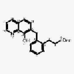 CCCCCCCCCCCCc1ccccc1Cc1ccc2cccnc2c1O